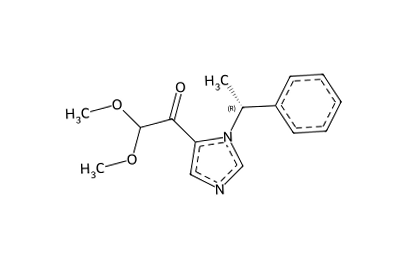 COC(OC)C(=O)c1cncn1[C@H](C)c1ccccc1